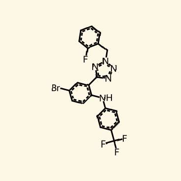 Fc1ccccc1Cn1nnc(-c2cc(Br)ccc2Nc2ccc(C(F)(F)F)cc2)n1